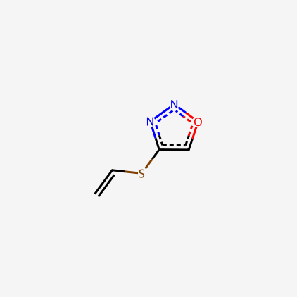 C=CSc1conn1